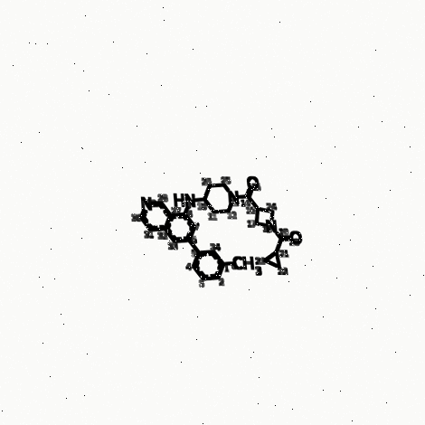 Cc1cccc(-c2cc(NC3CCN(C(=O)C4CN(C(=O)C5CC5)C4)CC3)c3cnccc3c2)c1